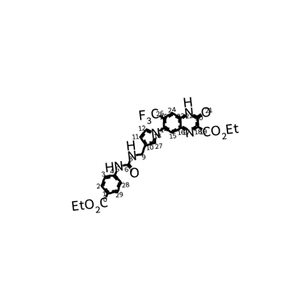 CCOC(=O)c1ccc(NC(=O)NCc2ccn(-c3cc4nc(C(=O)OCC)c(=O)[nH]c4cc3C(F)(F)F)c2)cc1